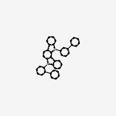 c1ccc(-c2cccc(-n3c4ccccc4c4ccc5c(c6ccccc6n5-c5ccccc5-c5ccccc5)c43)c2)cc1